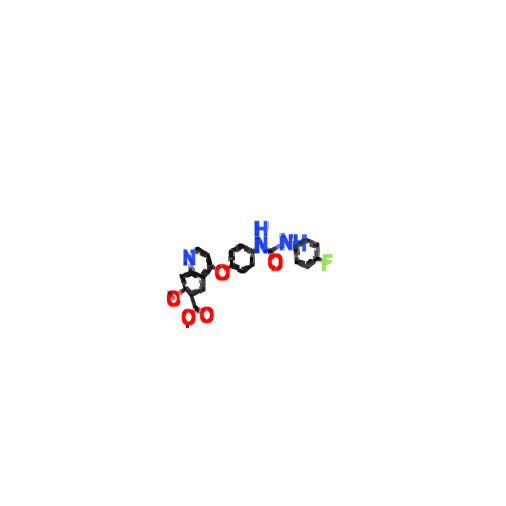 COC(=O)c1cc2c(Oc3ccc(NC(=O)Nc4ccc(F)cc4)cc3)ccnc2cc1OC